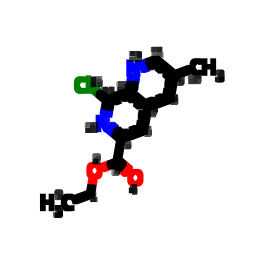 CCOC(=O)c1cc2cc(C)cnc2c(Cl)n1